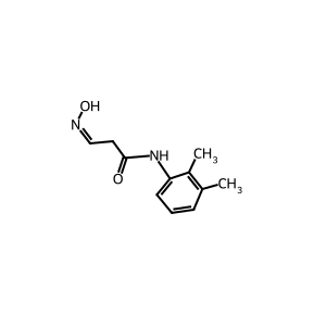 Cc1cccc(NC(=O)C/C=N\O)c1C